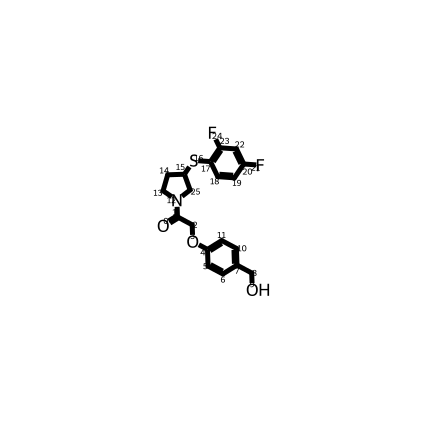 O=C(COc1ccc(CO)cc1)N1CCC(Sc2ccc(F)cc2F)C1